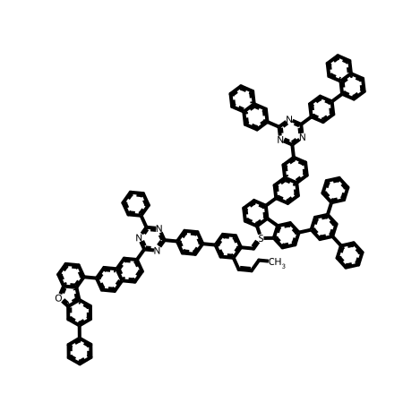 CC/C=C\c1cc(-c2ccc(-c3nc(-c4ccccc4)nc(-c4ccc5ccc(-c6cccc7oc8cc(-c9ccccc9)ccc8c67)cc5c4)n3)cc2)ccc1/C=S1/c2ccc(-c3cc(-c4ccccc4)cc(-c4ccccc4)c3)cc2-c2c(-c3ccc4ccc(-c5nc(-c6ccc(-c7cccc8ccccc78)cc6)nc(-c6ccc7ccccc7c6)n5)cc4c3)cccc21